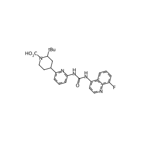 CC(C)(C)C1CC(c2cccc(NC(=O)Nc3ccnc4c(F)cccc34)n2)CCN1C(=O)O